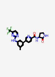 Cc1cc(Nc2nccc(C(F)(F)F)n2)cc(-c2ccc(C(=O)NC3CCNC3=O)nc2)c1